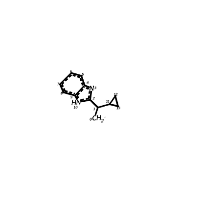 [CH2]C(c1nc2ccccc2[nH]1)C1CC1